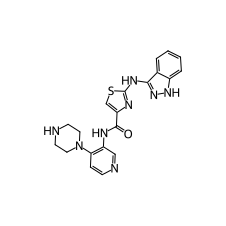 O=C(Nc1cnccc1N1CCNCC1)c1csc(Nc2n[nH]c3ccccc23)n1